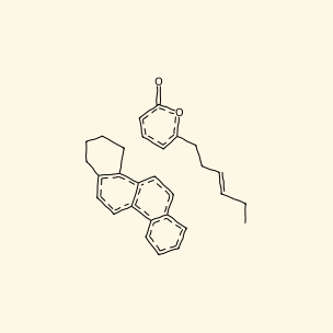 CCC=CCCc1cccc(=O)o1.c1ccc2c(c1)ccc1c3c(ccc12)CCCC3